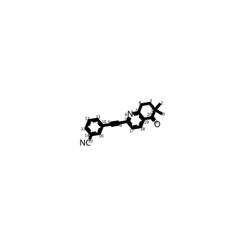 CC1(C)CCc2nc(C#Cc3cccc(C#N)c3)ccc2C1=O